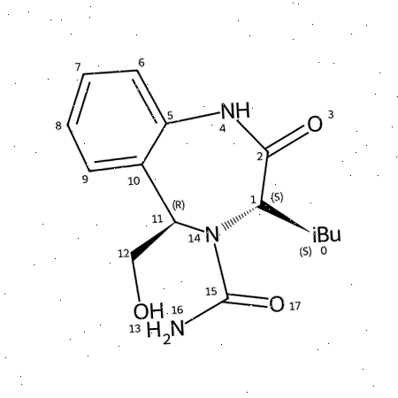 CC[C@H](C)[C@H]1C(=O)Nc2ccccc2[C@H](CO)N1C(N)=O